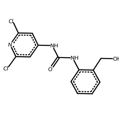 O=C(Nc1cc(Cl)nc(Cl)c1)Nc1ccccc1CO